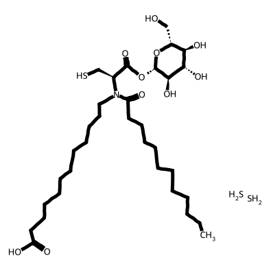 CCCCCCCCCCCC(=O)N(CCCCCCCCCCCC(=O)O)[C@@H](CS)C(=O)O[C@@H]1O[C@H](CO)[C@@H](O)[C@H](O)[C@H]1O.S.S